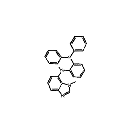 CN(c1ccccc1P(c1ccccc1)c1ccccc1)c1cccc2ncn(C)c12